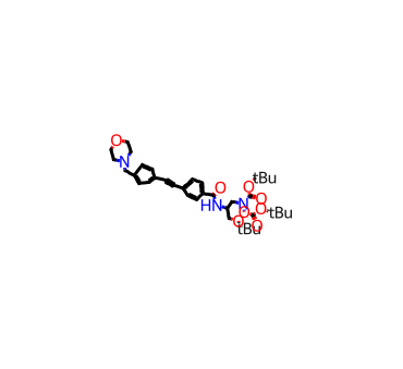 CC(C)(C)OCC(CN(OC(=O)OC(C)(C)C)C(=O)OC(C)(C)C)NC(=O)c1ccc(C#Cc2ccc(CN3CCOCC3)cc2)cc1